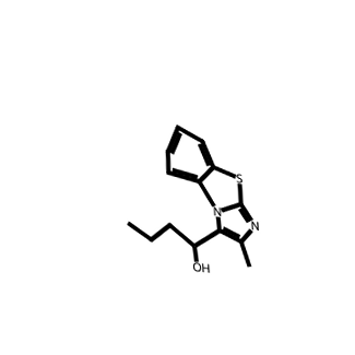 CCCC(O)c1c(C)nc2sc3ccccc3n12